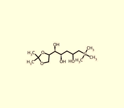 CC1(C)OCC([C@@H](O)[C@H](O)CC(O)C[Si](C)(C)C)O1